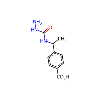 CC(NC(=O)NN)c1ccc(C(=O)O)cc1